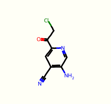 N#Cc1cc(C(=O)CCl)ncc1N